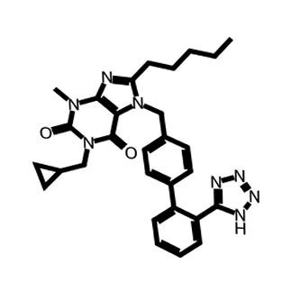 CCCCCc1nc2c(c(=O)n(CC3CC3)c(=O)n2C)n1Cc1ccc(-c2ccccc2-c2nnn[nH]2)cc1